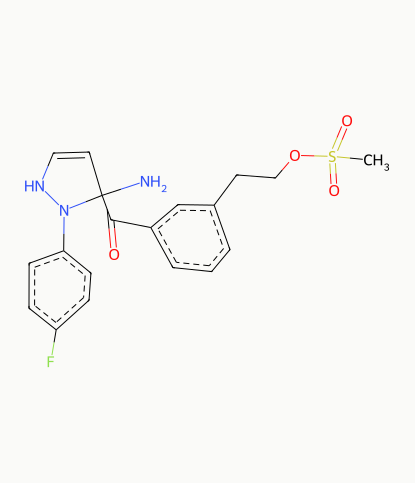 CS(=O)(=O)OCCc1cccc(C(=O)C2(N)C=CNN2c2ccc(F)cc2)c1